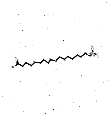 O=C(O)CCCCCCCCCCCCCCCCC[SiH](Cl)Cl